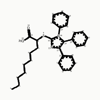 CCCCCCCCC(Sc1nc(-c2ccccc2)c(-c2ccccc2)n1-c1ccccc1)C(=O)O